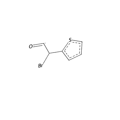 O=[C]C(Br)c1cccs1